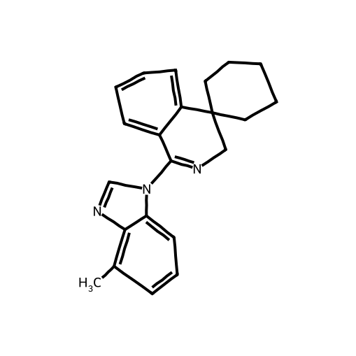 Cc1cccc2c1ncn2C1=NCC2(CCCCC2)c2ccccc21